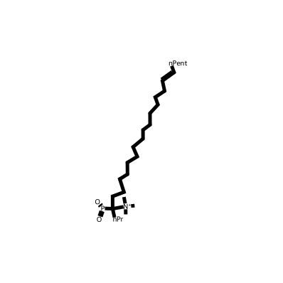 CCCCCC=CCCCCCCCCCCCCCCC(CCC)(P(=O)=O)[N+](C)(C)C